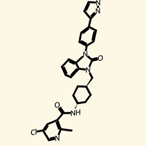 Cc1ncc(Cl)cc1C(=O)N[C@H]1CC[C@H](Cn2c(=O)n(-c3ccc(-c4ccn(C)n4)cc3)c3ccccc32)CC1